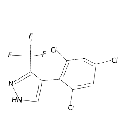 FC(F)(F)c1n[nH]cc1-c1c(Cl)cc(Cl)cc1Cl